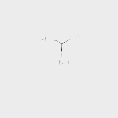 CC(C)I.N